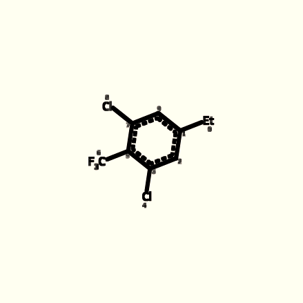 [CH2]Cc1cc(Cl)c(C(F)(F)F)c(Cl)c1